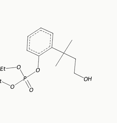 CCOP(=O)(OCC)Oc1ccccc1C(C)(C)CCO